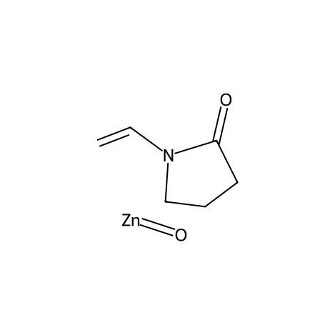 C=CN1CCCC1=O.[O]=[Zn]